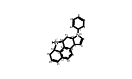 C1=CCC(N2C=CC3c4ccc5c6c4C(CC32)NC6CC=C5)C=C1